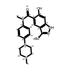 CCCCc1n[nH]c2cc(O)c(C(=O)N(C)c3ccc(N4CCN(C)CC4)cc3)cc12